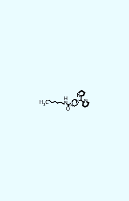 CCCCCCCNC(=O)N1CCN(C(c2ccccn2)c2ccccn2)CC1